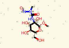 CO[C@@H]1O[C@H](CO)[C@@H](O)[C@H](O)[C@@]1(O)NC(=O)N(C)N=O